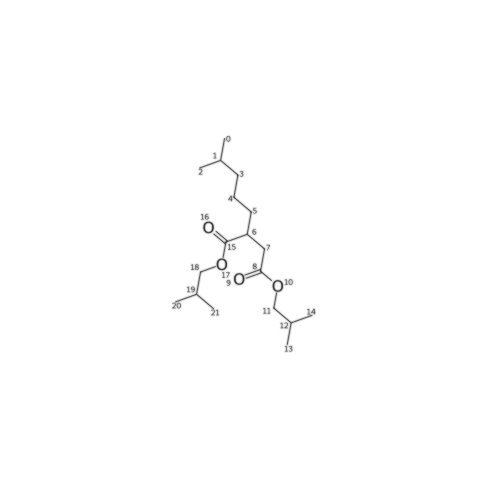 CC(C)CCCC(CC(=O)OCC(C)C)C(=O)OCC(C)C